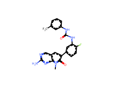 Cn1c(=O)c(-c2ccc(F)c(NC(=O)Nc3cccc(C(F)(F)F)c3)c2)cc2cnc(N)nc21